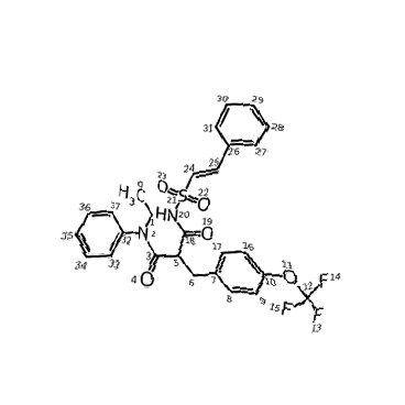 CCN(C(=O)C(Cc1ccc(OC(F)(F)F)cc1)C(=O)NS(=O)(=O)C=Cc1ccccc1)c1ccccc1